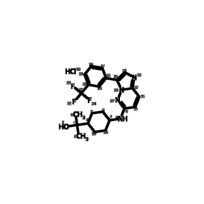 CC(C)(O)C1CCC(Nc2ccc3ncc(-c4cccc(C(F)(F)F)c4)n3n2)CC1.Cl